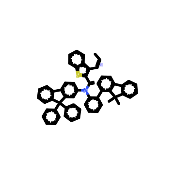 C=C(c1sc2ccccc2c1/C=C\C)N(c1ccc2c(c1)C(c1ccccc1)(c1ccccc1)c1ccccc1-2)c1ccccc1-c1cccc2c1C(C)(C)c1ccccc1-2